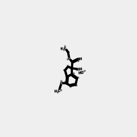 CCOC(=N)C1(O)CCc2c(OC)cccc21.Cl